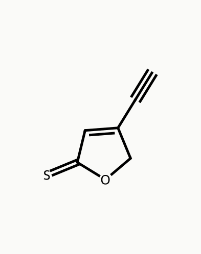 C#CC1=CC(=S)OC1